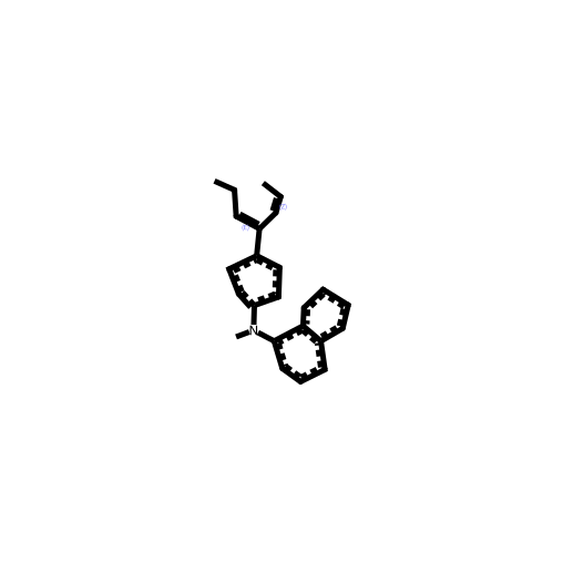 C/C=C\C(=C/CC)c1ccc(N(C)c2cccc3ccccc23)cc1